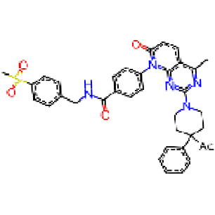 CC(=O)C1(c2ccccc2)CCN(c2nc(C)c3ccc(=O)n(-c4ccc(C(=O)NCc5ccc(S(C)(=O)=O)cc5)cc4)c3n2)CC1